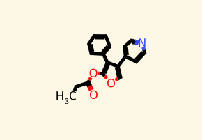 CCC(=O)Oc1occ(-c2ccncc2)c1-c1ccccc1